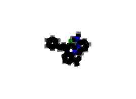 CC(C)c1cccc(C(C)C)c1-n1cc2cccc(N(C)C)n2[c]1=[Pd-2]([Cl])[CH2]C=Cc1ccccc1